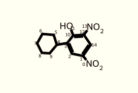 O=[N+]([O-])c1cc(C2CCCCC2)c(O)c([N+](=O)[O-])c1